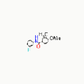 COc1ccc(C(=O)Nc2cccc(F)c2)cc1C